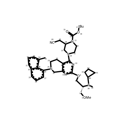 COC[C@H](COc1nc2c(c(N3CCN(C(=O)OC(C)(C)C)C(CC#N)C3)n1)CCN(c1cccc3cccc(C)c13)C2)N(C)C1CCC1